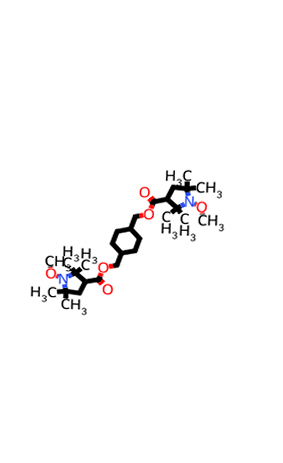 CON1C(C)(C)CC(C(=O)OCC2CCC(COC(=O)C3CC(C)(C)N(OC)C3(C)C)CC2)C1(C)C